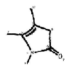 CC1=C(C)N(C)C(=O)C1